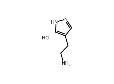 Cl.NCCc1cn[nH]c1